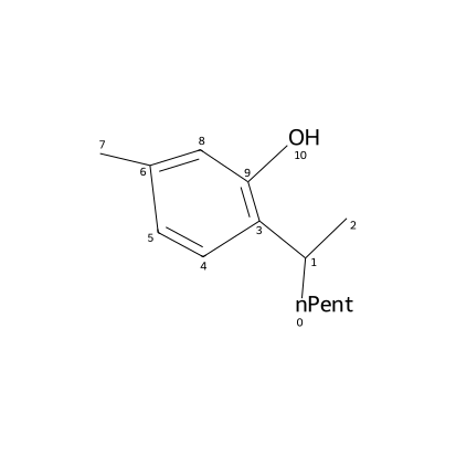 CCCCCC(C)c1ccc(C)cc1O